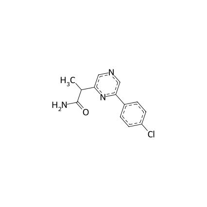 CC(C(N)=O)c1cncc(-c2ccc(Cl)cc2)n1